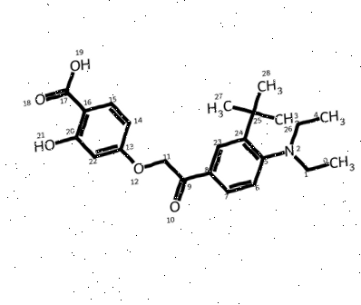 CCN(CC)c1ccc(C(=O)COc2ccc(C(=O)O)c(O)c2)cc1C(C)(C)C